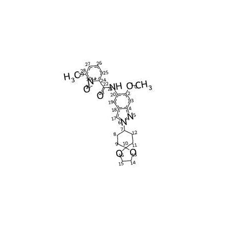 COc1cc2nn(C3CCC4(CC3)OCCO4)cc2cc1NC(=O)c1cccc(C)[n+]1[O-]